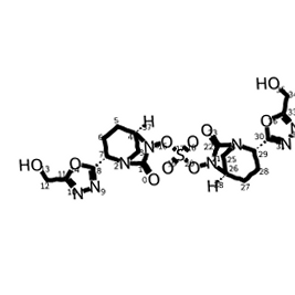 O=C1N2C[C@@H](CC[C@H]2c2nnc(CO)o2)N1OS(=O)(=O)ON1C(=O)N2C[C@H]1CC[C@H]2c1nnc(CO)o1